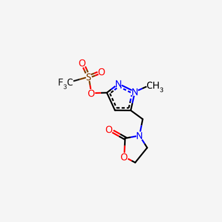 Cn1nc(OS(=O)(=O)C(F)(F)F)cc1CN1CCOC1=O